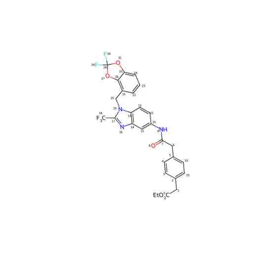 CCOC(=O)Cc1ccc(CC(=O)Nc2ccc3c(c2)nc(C(F)(F)F)n3Cc2cccc3c2OC(F)(F)O3)cc1